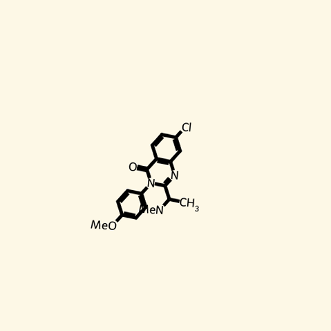 CNC(C)c1nc2cc(Cl)ccc2c(=O)n1-c1ccc(OC)cc1